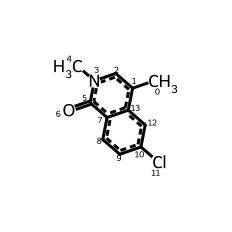 Cc1cn(C)c(=O)c2ccc(Cl)cc12